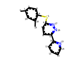 Cc1ccc(Sc2ccc(-c3ccccn3)nn2)c(C)c1